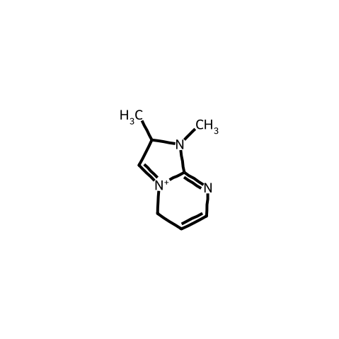 CC1C=[N+]2CC=CN=C2N1C